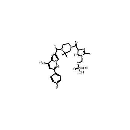 CC1=NC(C(=O)N2CCN(C(=O)c3cn4nc(-c5ccc(F)cc5)cc(C(C)(C)C)c4n3)C(C)(C)C2)NN1COP(=O)(O)O